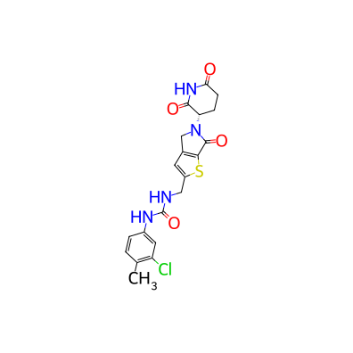 Cc1ccc(NC(=O)NCc2cc3c(s2)C(=O)N([C@H]2CCC(=O)NC2=O)C3)cc1Cl